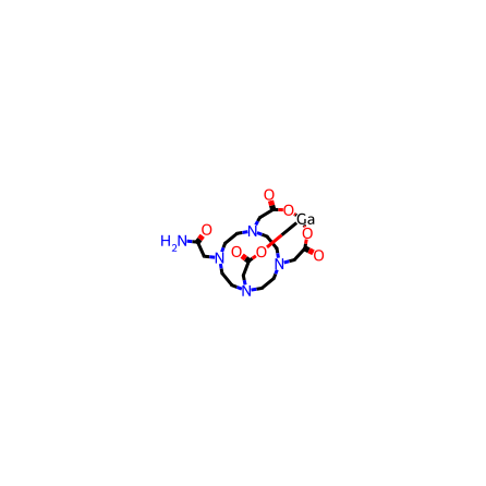 NC(=O)CN1CCN2CCN3CCN(CC1)CC(=O)[O][Ga]([O]C(=O)C2)[O]C(=O)C3